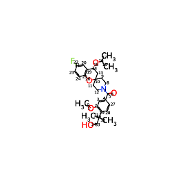 COc1cc(C(=O)N2CCC3(CC2)C[C@@H](OC(C)C)c2cc(F)ccc2O3)ccc1C(C)(C)CO